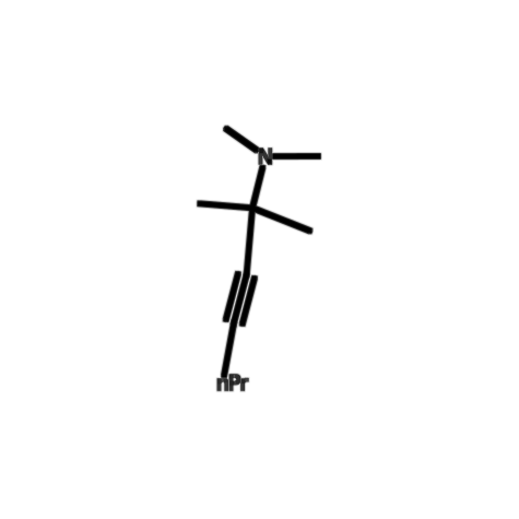 CCCC#CC(C)(C)N(C)C